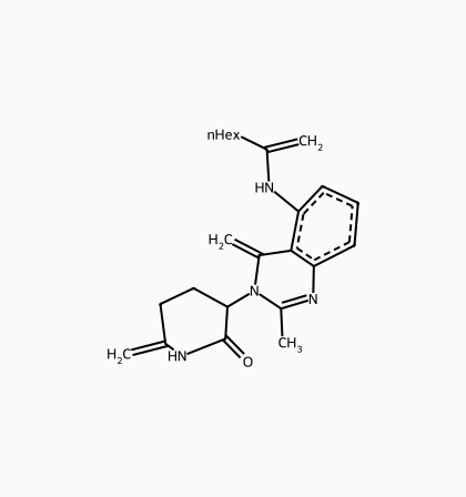 C=C1CCC(N2C(=C)c3c(cccc3NC(=C)CCCCCC)N=C2C)C(=O)N1